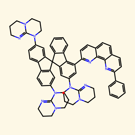 c1ccc(-c2ccc3ccc4ccc(-c5cc(N6CCCN7CCCN=C76)cc6c5-c5ccccc5C65c6cc(N7CCCN8CCCN=C87)ccc6-c6ccc(N7CCCN8CCCN=C87)cc65)nc4c3n2)cc1